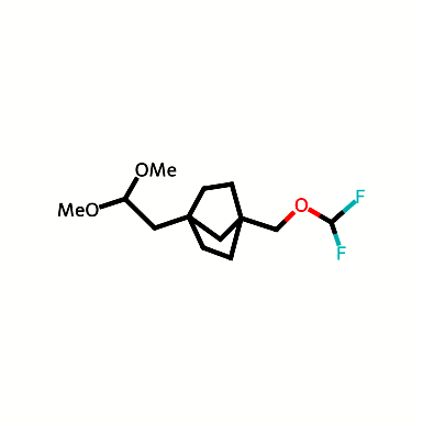 COC(CC12CCC(COC(F)F)(CC1)C2)OC